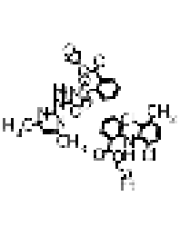 CCOCOC(=O)c1ccccc1Nc1c(Cl)ccc(C)c1Cl.Cc1cc(C)nc(NC(=O)NS(=O)(=O)c2ccccc2C(=O)OC2COC2)n1